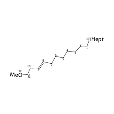 CCCCCCCCCCCCCCC=CC[CH]OC